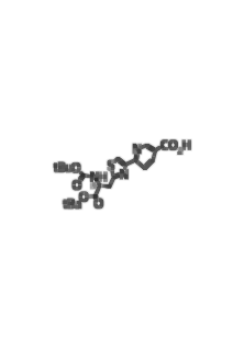 CC(C)(C)OC(=O)N[C@@H](Cc1nc(-c2ccc(C(=O)O)cn2)cs1)C(=O)OC(C)(C)C